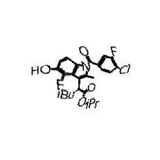 CC[C@H](C)C(C(=O)OC(C)C)c1c(C)n(C(=O)c2ccc(Cl)c(F)c2)c2ccc(O)c(F)c12